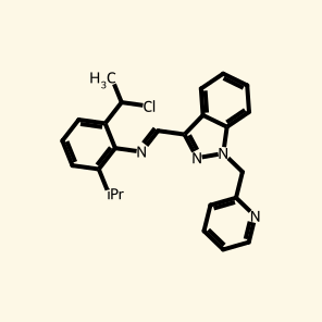 CC(C)c1cccc(C(C)Cl)c1/N=C/c1nn(Cc2ccccn2)c2ccccc12